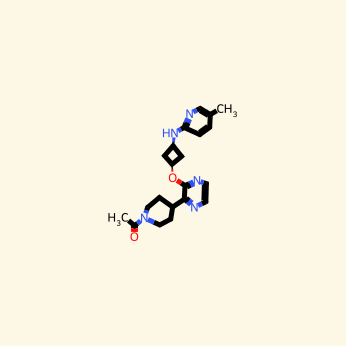 CC(=O)N1CCC(c2nccnc2O[C@H]2C[C@H](Nc3ccc(C)cn3)C2)CC1